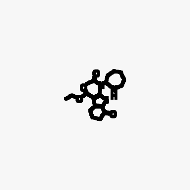 CCOC(=O)c1c(N(C(C)=O)C2CCCCCN2)sc2c1CCCC2=O